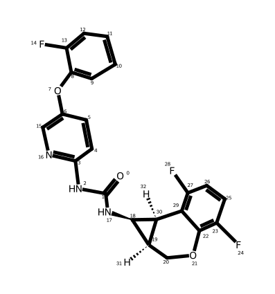 O=C(Nc1ccc(Oc2ccccc2F)cn1)N[C@@H]1[C@@H]2COc3c(F)ccc(F)c3[C@@H]21